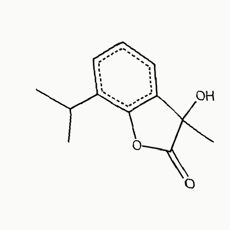 CC(C)c1cccc2c1OC(=O)C2(C)O